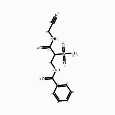 CS(=O)(=O)C(CNC(=O)c1ccccc1)C(=O)NCC#N